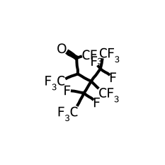 O=C(C(C(F)(F)F)C(C(F)(F)F)(C(F)(F)C(F)(F)F)C(F)(F)C(F)(F)F)C(F)(F)F